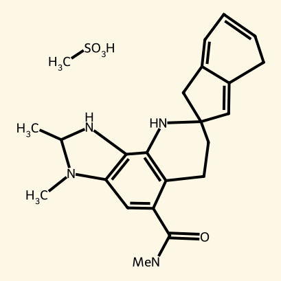 CNC(=O)c1cc2c(c3c1CCC1(C=C4CC=CC=C4C1)N3)NC(C)N2C.CS(=O)(=O)O